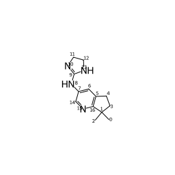 CC1(C)CCc2cc(NC3=NCCN3)cnc21